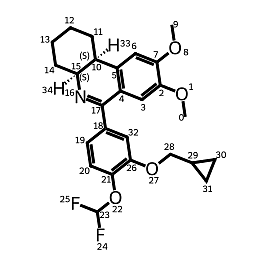 COc1cc2c(cc1OC)[C@@H]1CCCC[C@@H]1N=C2c1ccc(OC(F)F)c(OCC2CC2)c1